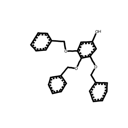 Oc1cc(OCc2ccccc2)c(OCc2ccccc2)c(OCc2ccccc2)c1